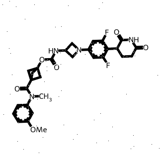 COc1cccc(N(C)C(=O)C23CC(OC(=O)NC4CN(c5cc(F)c(C6CCC(=O)NC6=O)c(F)c5)C4)(C2)C3)c1